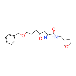 O=C(NCC1CCOC1)C1=NOC(CCCOCc2ccccc2)C1